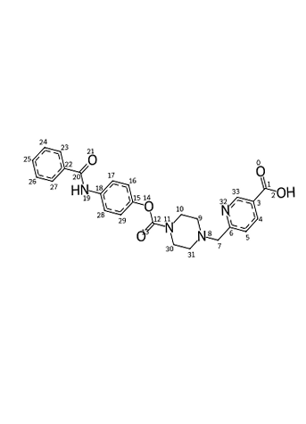 O=C(O)c1ccc(CN2CCN(C(=O)Oc3ccc(NC(=O)c4ccccc4)cc3)CC2)nc1